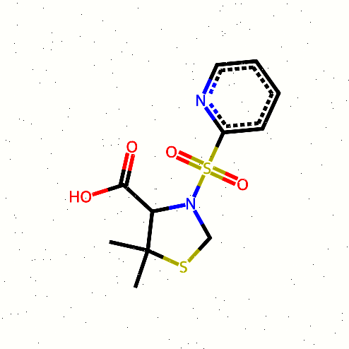 CC1(C)SCN(S(=O)(=O)c2ccccn2)C1C(=O)O